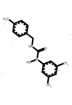 Cc1ccc(CNC(=O)N(S)c2cc(C(F)(F)F)cc(C(F)(F)F)c2)cc1